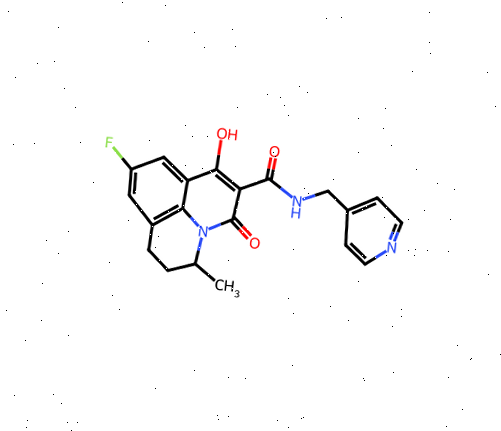 CC1CCc2cc(F)cc3c(O)c(C(=O)NCc4ccncc4)c(=O)n1c23